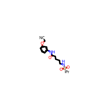 CC(C)S(=O)(=O)NCCCCC(=O)Nc1cccc(OCC#N)c1